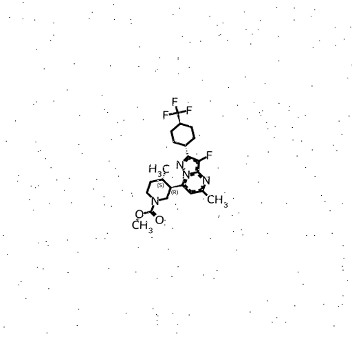 COC(=O)N1CC[C@H](C)[C@@H](c2cc(C)nc3c(F)c([C@H]4CC[C@H](C(F)(F)F)CC4)nn23)C1